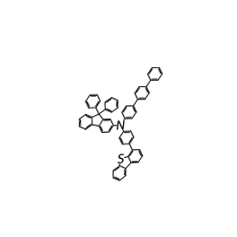 c1ccc(-c2ccc(-c3ccc(N(c4ccc(-c5cccc6c5sc5ccccc56)cc4)c4ccc5c(c4)C(c4ccccc4)(c4ccccc4)c4ccccc4-5)cc3)cc2)cc1